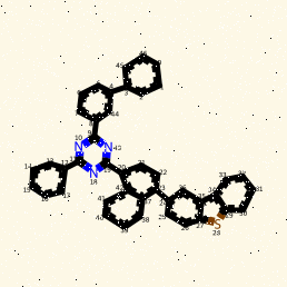 c1ccc(-c2cccc(-c3nc(-c4ccccc4)nc(-c4ccc(-c5ccc6sc7ccccc7c6c5)c5ccccc45)n3)c2)cc1